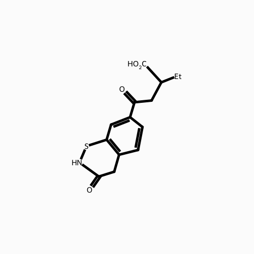 CCC(CC(=O)c1ccc2c(c1)SNC(=O)C2)C(=O)O